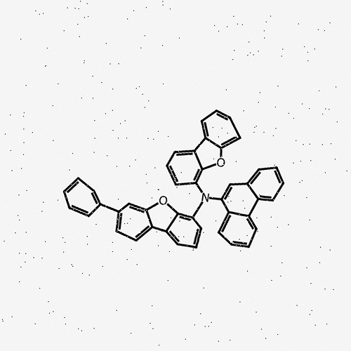 c1ccc(-c2ccc3c(c2)oc2c(N(c4cc5ccccc5c5ccccc45)c4cccc5c4oc4ccccc45)cccc23)cc1